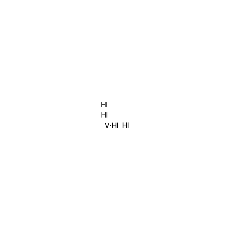 I.I.I.I.[V]